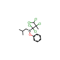 CC(C)[CH2][Al]([O]c1ccccc1)[C](Cl)(Cl)C(C)(Cl)C(Cl)Cl